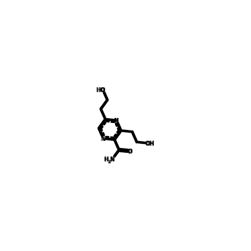 NC(=O)c1ncc(CCO)nc1CCO